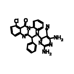 N#Cc1c(N)nc(N)nc1NC(c1ccccc1)c1nc2cccc(Cl)c2c(=O)n1-c1ccccc1